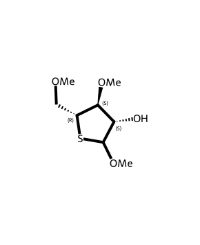 COC[C@H]1SC(OC)[C@@H](O)[C@@H]1OC